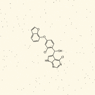 OC(c1ccc(Oc2cccc3ccoc23)cc1Cl)c1c[nH]c2ncnc(Cl)c12